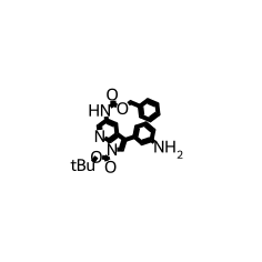 CC(C)(C)OC(=O)n1cc(-c2cccc(N)c2)c2cc(NC(=O)OCc3ccccc3)cnc21